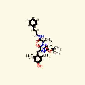 Cc1cc(O)cc(C)c1CC(NC(=O)OC(C)(C)C)C(=O)N[C@H](C)C(=O)NCCCc1ccccc1